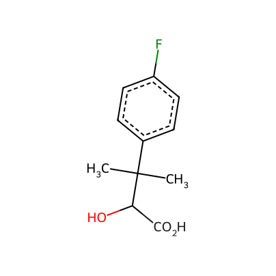 CC(C)(c1ccc(F)cc1)C(O)C(=O)O